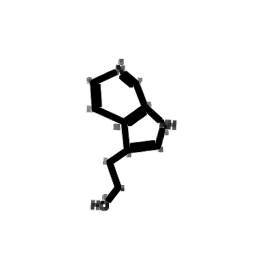 OCCc1c[nH]c2cnccc12